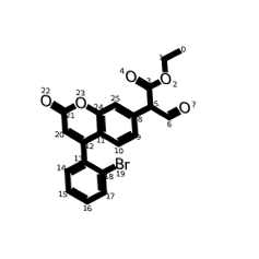 CCOC(=O)C(C=O)c1ccc2c(-c3ccccc3Br)cc(=O)oc2c1